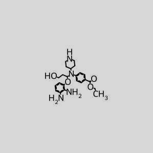 CCOC(=O)c1ccc(N(C2CCNCC2)C(CCO)Oc2cccc(N)c2N)cc1